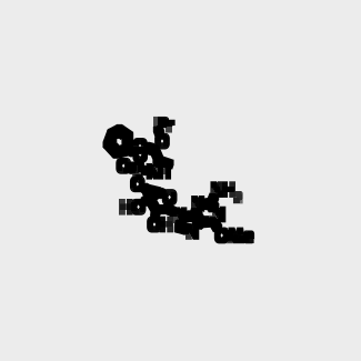 COc1nc(N)nc2c1ncn2C1OC2C(OP(=O)(NC(C)C(=O)OC(C)C)Oc3ccccc3)C2(O)C1O